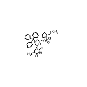 COC[C@@H]1CCCN1P(=O)(Cl)OC[C@@H]1CN(C(c2ccccc2)(c2ccccc2)c2ccccc2)C[C@H](n2cc(C)c(=O)[nH]c2=O)O1